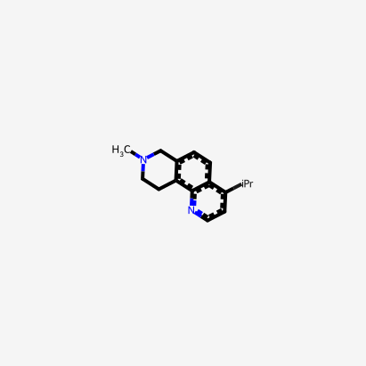 CC(C)c1ccnc2c3c(ccc12)CN(C)CC3